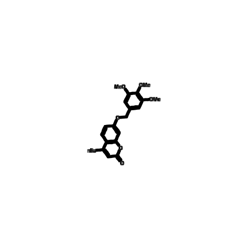 CCCCc1cc(=O)oc2cc(OCc3cc(OC)c(OC)c(OC)c3)ccc12